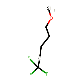 FC(F)(F)CCCCO[SiH3]